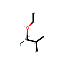 CCO[C@@H](C)C(C)C